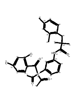 CC(=O)[N+](C(C)=O)(C(=O)c1ccc(Cl)cc1Cl)c1cccc(NC(=O)C(C)(C)Cc2ccc(C)cc2C)c1